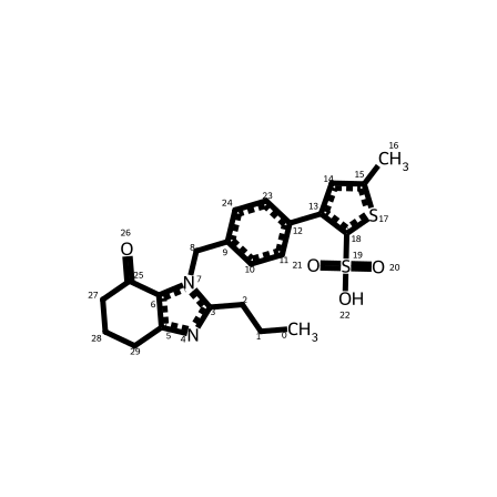 CCCc1nc2c(n1Cc1ccc(-c3cc(C)sc3S(=O)(=O)O)cc1)C(=O)CCC2